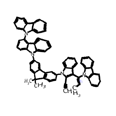 C#Cc1c(/C(=C\C)n2c3c(c4ccccc42)CCC=C3)c2ccccc2n1-c1ccc2c(c1)-c1cc(-n3c4ccccc4c4c(-n5c6ccccc6c6ccccc65)cccc43)ccc1C2(C)C